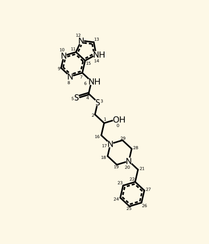 OC(CSC(=S)Nc1ncnc2nc[nH]c12)CN1CCN(Cc2ccccc2)CC1